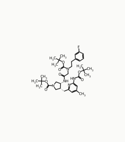 Cc1cc(C[C@@H]2CN(C(=O)OC(C)(C)C)C[C@@H]2NC(=O)CN(CCc2cccc(F)c2)C(=O)OC(C)(C)C)nc(NC(=O)OC(C)(C)C)c1